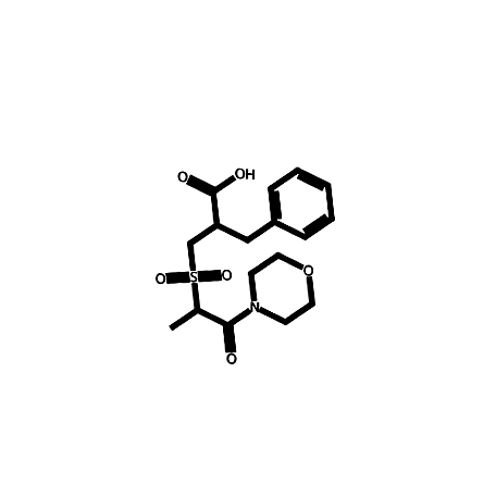 CC(C(=O)N1CCOCC1)S(=O)(=O)CC(Cc1ccccc1)C(=O)O